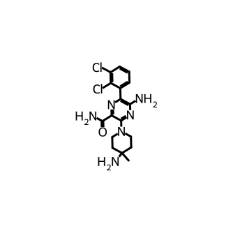 CC1(N)CCN(c2nc(N)c(-c3cccc(Cl)c3Cl)nc2C(N)=O)CC1